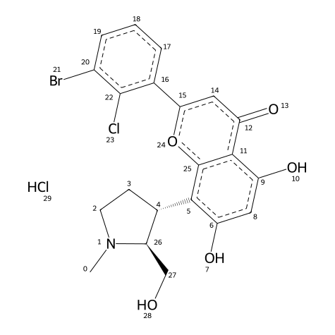 CN1CC[C@H](c2c(O)cc(O)c3c(=O)cc(-c4cccc(Br)c4Cl)oc23)[C@H]1CO.Cl